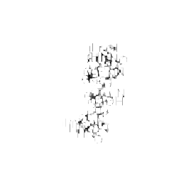 C=CCOP(=O)(OCCC#N)O[C@@H]1C(COP(=O)(OCCC#N)O[C@@H]2C(CO)OC(n3cnc4c(=O)[nH]c(NC(=O)C(C)C)nc43)[C@@H]2F)OC(n2cnc3c(=O)[nH]c(NC(=O)C(C)C)nc32)[C@@H]1F